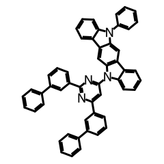 c1ccc(-c2cccc(-c3cc(-n4c5ccccc5c5cc6c(cc54)c4ccccc4n6-c4ccccc4)nc(-c4cccc(-c5ccccc5)c4)n3)c2)cc1